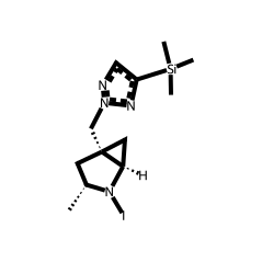 C[C@@H]1C[C@@]2(Cn3ncc([Si](C)(C)C)n3)C[C@H]2N1I